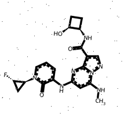 CNc1cc(Nc2cccn([C@H]3C[C@@H]3F)c2=O)nc2c(C(=O)N[C@@H]3CC[C@@H]3O)cnn12